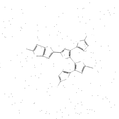 CCCCCCc1ccc(-c2cc(C)sc2-c2sc(-c3cc4sc(C)cc4s3)cc2-c2ccc(CCCCCC)s2)s1